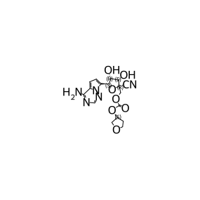 N#C[C@]1(COC(=O)O[C@H]2CCOC2)O[C@@H](c2ccc3c(N)ncnn23)[C@H](O)[C@@H]1O